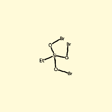 CC[Si](OBr)(OBr)OBr